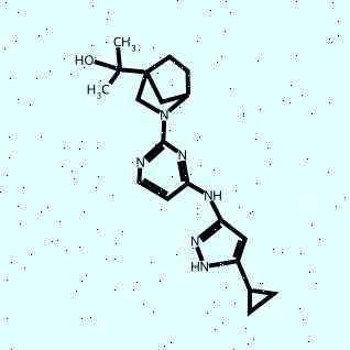 CC(C)(O)C12CCC(C1)N(c1nccc(Nc3cc(C4CC4)[nH]n3)n1)C2